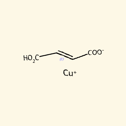 O=C([O-])/C=C/C(=O)O.[Cu+]